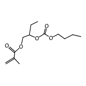 C=C(C)C(=O)OCC(CC)OC(=O)OCCCC